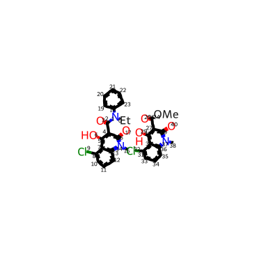 CCN(C(=O)c1c(O)c2c(Cl)cccc2n(C)c1=O)c1ccccc1.COC(=O)c1c(O)c2c(Cl)cccc2n(C)c1=O